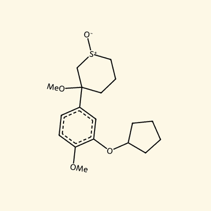 COc1ccc(C2(OC)CCC[S+]([O-])C2)cc1OC1CCCC1